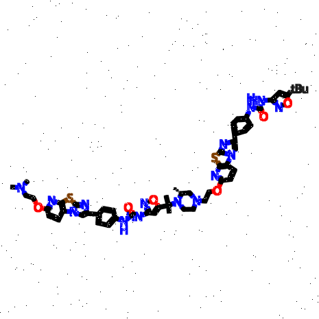 C[C@@H]1CN(CCOc2ccc3c(n2)sc2nc(-c4ccc(NC(=O)Nc5cc(C(C)(C)C)on5)cc4)cn23)CCN1C(C)(C)c1cc(NC(=O)Nc2ccc(-c3cn4c(n3)sc3nc(OCCN(C)C)ccc34)cc2)no1